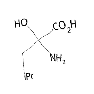 CC(C)CC(N)(O)C(=O)O